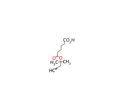 C#CCC(C)(C)OC(=O)CCCCC(=O)O